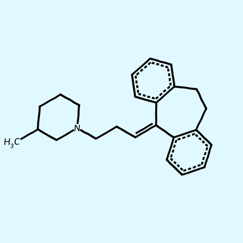 CC1CCCN(CCC=C2c3ccccc3CCc3ccccc32)C1